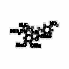 CCOC(=O)N1c2cc(OC)c(OC)cc2[C@@H](N(Cc2cccc([N+](=O)[O-])c2)C(=O)OC)C[C@H]1C